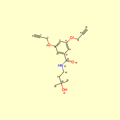 C#CCOc1cc(OCC#C)cc(C(=O)NCCC(C)(C)O)c1